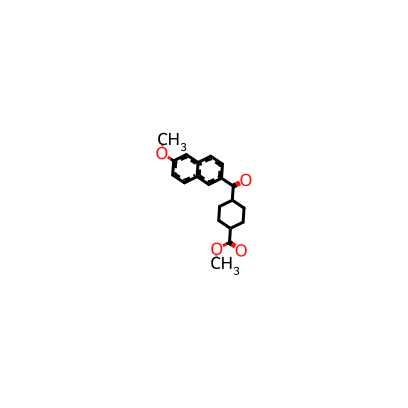 COC(=O)C1CCC(C(=O)c2ccc3cc(OC)ccc3c2)CC1